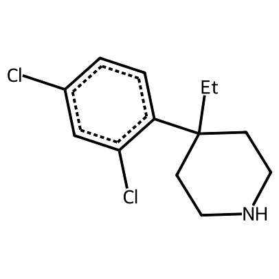 CCC1(c2ccc(Cl)cc2Cl)CCNCC1